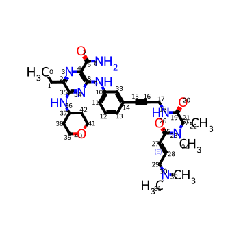 CCc1nc(C(N)=O)c(Nc2cccc(C#CCNC(=O)[C@H](C)N(C)C(=O)/C=C/CN(C)C)c2)nc1NC1CCOCC1